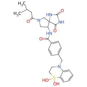 CC(C)CC(=O)N1CC(NC(=O)c2ccc(CN3CCS(O)(O)c4ccccc43)cc2)C2(C1)NC(=O)NC2=O